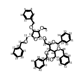 COC1C(OCc2ccccc2)[C@@H](COCc2ccccc2)O[C@H]1OCC(OCc1ccccc1)C(OCc1ccccc1)C(CO)OCc1ccccc1